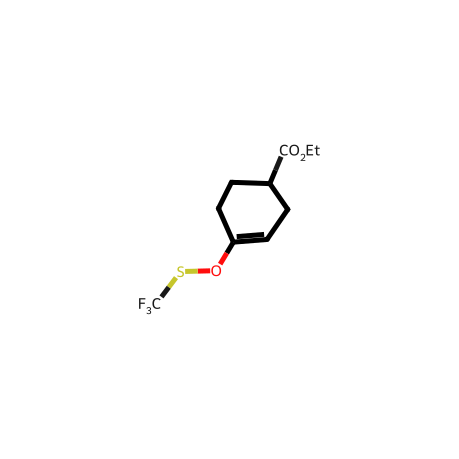 CCOC(=O)C1CC=C(OSC(F)(F)F)CC1